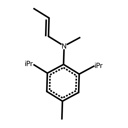 CC=CN(C)c1c(C(C)C)cc(C)cc1C(C)C